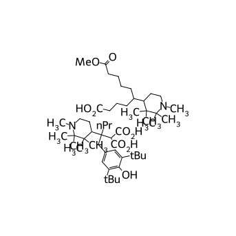 CCCC(Cc1cc(C(C)(C)C)c(O)c(C(C)(C)C)c1)(C(C(=O)O)C(=O)O)C1CCN(C)C(C)(C)C1(C)C.COC(=O)CCCCC(CCCC(=O)O)C1CCN(C)C(C)(C)C1(C)C